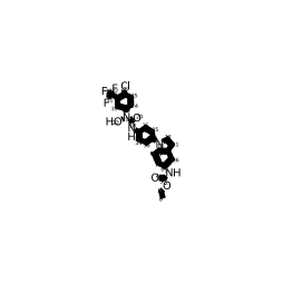 CCOC(=O)Nc1ccc2c(ccn2-c2ccc(NC(=O)N(O)c3ccc(Cl)c(C(F)(F)F)c3)cc2)c1